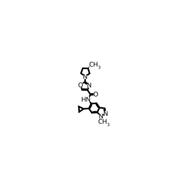 C[C@H]1CCN(c2nc(C(=O)Nc3cc4cnn(C)c4cc3C3CC3)co2)C1